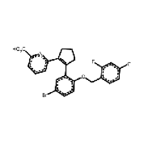 O=C(O)c1cccc(C2=C(c3cc(Br)ccc3OCc3ccc(Cl)cc3F)CCC2)n1